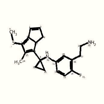 CSC1=C2C=CCC2C(C2(Nc3ccc(F)c(CCN)c3)CC2)=C1C